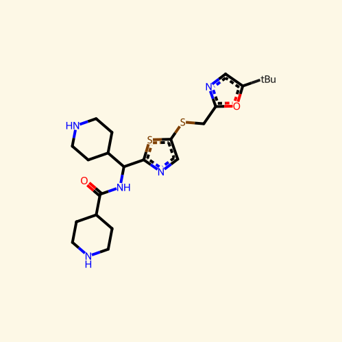 CC(C)(C)c1cnc(CSc2cnc(C(NC(=O)C3CCNCC3)C3CCNCC3)s2)o1